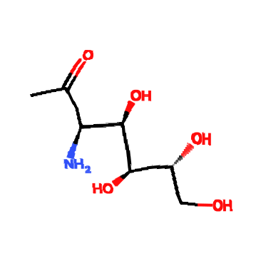 CC(=O)[C@H](N)[C@@H](O)[C@H](O)[C@H](O)CO